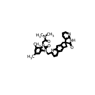 Cc1cc(C)c2c(c1)n(Cc1ccc3cc4c(cc3n1)CC1(C4)C(=O)Nc3ncccc31)c(=O)n2CC(=O)N(C)C